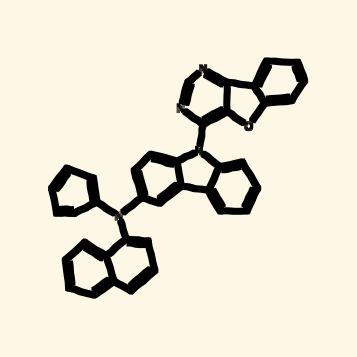 c1ccc(N(c2ccc3c(c2)c2ccccc2n3-c2ncnc3c2oc2ccccc23)c2cccc3ccccc23)cc1